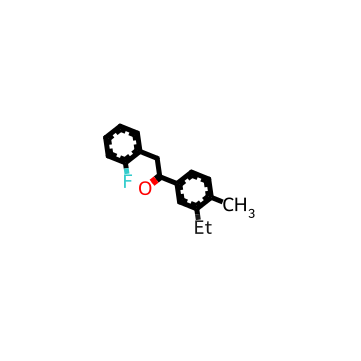 CCc1cc(C(=O)Cc2ccccc2F)ccc1C